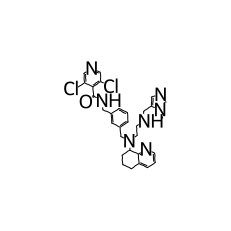 Cn1cncc1CNCCN(Cc1cccc(CNC(=O)c2c(Cl)cncc2Cl)c1)C1CCCc2cccnc21